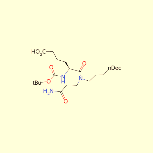 CCCCCCCCCCCCCN(CCC(N)=O)C(=O)[C@H](CCCC(=O)O)NC(=O)OC(C)(C)C